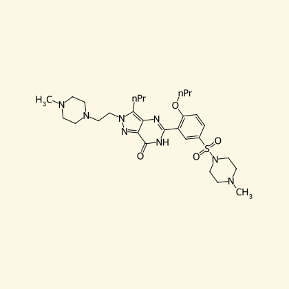 CCCOc1ccc(S(=O)(=O)N2CCN(C)CC2)cc1-c1nc2c(CCC)n(CCN3CCN(C)CC3)nc2c(=O)[nH]1